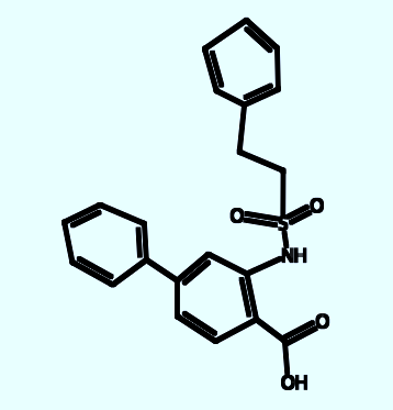 O=C(O)c1ccc(-c2ccccc2)cc1NS(=O)(=O)CCc1ccccc1